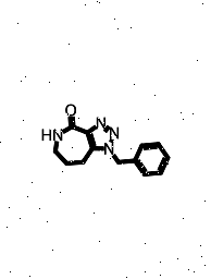 O=C1NCCCc2c1nnn2Cc1ccccc1